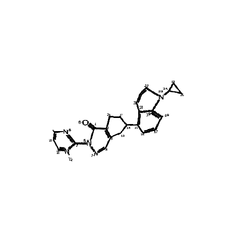 O=c1c2c(cnn1-c1ncccn1)CC(c1cccc3c1ccn3C1CC1)CC2